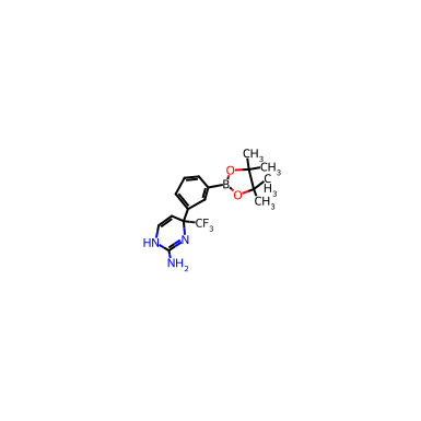 CC1(C)OB(c2cccc(C3(C(F)(F)F)C=CNC(N)=N3)c2)OC1(C)C